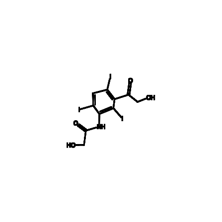 O=C(CO)Nc1c(I)cc(I)c(C(=O)CO)c1I